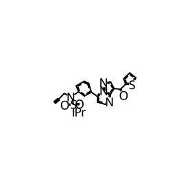 C#CCN(c1cccc(-c2ccnc3c(C(=O)c4cccs4)cnn23)c1)S(=O)(=O)C(C)C